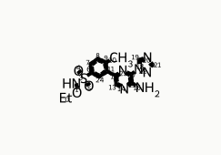 CCONS(=O)(=O)c1ccc(C)c(-c2cnc(N)c(-n3cncn3)n2)c1